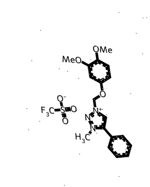 COc1ccc(OC[n+]2cc(-c3ccccc3)n(C)n2)cc1OC.O=S(=O)([O-])C(F)(F)F